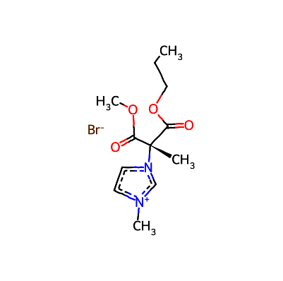 CCCOC(=O)[C@@](C)(C(=O)OC)n1cc[n+](C)c1.[Br-]